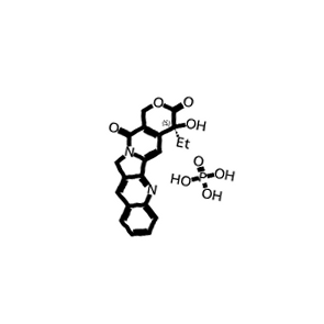 CC[C@@]1(O)C(=O)OCc2c1cc1n(c2=O)Cc2cc3ccccc3nc2-1.O=P(O)(O)O